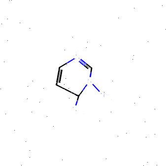 NC1C=CN=CN1N